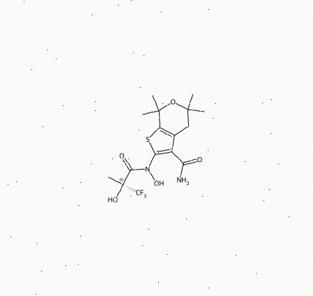 CC1(C)Cc2c(sc(N(O)C(=O)[C@](C)(O)C(F)(F)F)c2C(N)=O)C(C)(C)O1